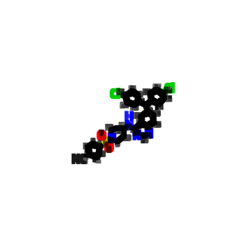 N#Cc1ccc(S(=O)(=O)N2CCC(Nc3ncnc4ccc(C(c5ccc(Cl)cc5)c5ccc(Cl)cc5)cc34)CC2)cc1